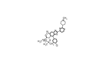 CCOC(=O)[C@@H](OC(C)(C)C)c1c(C)cc2nc(-c3ccnc(C4CCN(C)CC4)n3)sc2c1-c1ccc(Cl)cc1